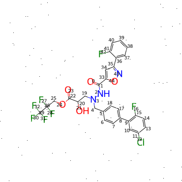 O=C(NN(Cc1ccc(-c2cc(Cl)ccc2F)cc1)CC(O)C(=O)OCC(F)(F)C(F)(F)F)c1cc(-c2ccccc2F)no1